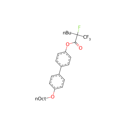 CCCCCCCCOc1ccc(-c2ccc(OC(=O)C(F)(CCCC)C(F)(F)F)cc2)cc1